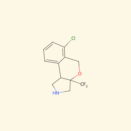 FC(F)(F)C12CNCC1c1cccc(Cl)c1CO2